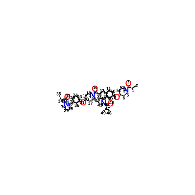 C=CC(=O)N1CCC(Oc2ccc(/C=C/C(=O)N3CCC(Oc4cccc(C5CCCN5C(=O)CC)c4)CC3)c(C3CCCN3C(=O)C(C)C)c2)CC1